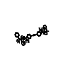 CC(=O)N1CCC[C@H]1c1nc2cc(C#Cc3ccc4[nH]c([C@@H]5CCCN5C(=O)[C@@H](c5ccccc5)N(C)C)nc4c3)ccc2[nH]1